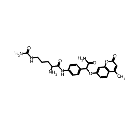 Cc1cc(=O)oc2cc(OC(C(N)=O)c3ccc(NC(=O)C(N)CCCNC(N)=O)cc3)ccc12